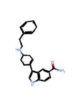 NC(=O)c1ccc2[nH]cc(C3=CCC(NCCc4ccccc4)CC3)c2c1